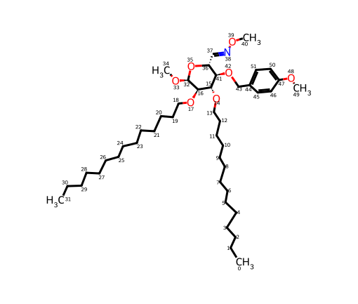 CCCCCCCCCCCCCCO[C@@H]1[C@@H](OCCCCCCCCCCCCCC)[C@@H](OC)O[C@H](C=NOC)[C@H]1OCc1ccc(OC)cc1